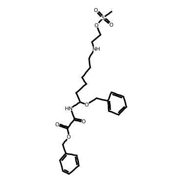 CS(=O)(=O)OCCNCCCCCC(NC(=O)C(=O)OCc1ccccc1)OCc1ccccc1